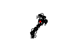 COC(=O)N[C@H]1CCC[C@@H]1[C@](CN1CCC1)(c1cccc(F)c1)C1CCN(CC2(F)CN(c3ccc(S(=O)(=O)c4cccc(C(=O)N(C)C)c4)cc3)C2)CC1